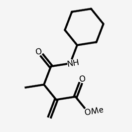 C=C(C(=O)OC)C(C)C(=O)NC1CCCCC1